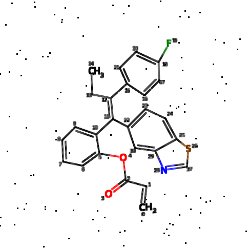 C=CC(=O)Oc1ccccc1/C(=C(\CC)c1ccc(F)cc1)c1ccc2scnc2c1